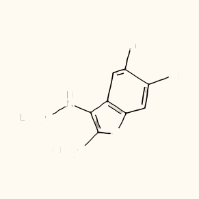 CCOC(=O)Nc1c(C(=O)OCC)oc2cc(Cl)c(Br)cc12